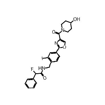 O=C(NCc1ccc(-c2nc(C(=O)N3CCC(O)CC3)co2)cc1I)C(F)c1ccccc1